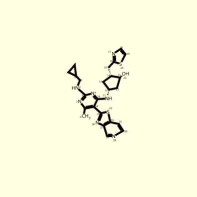 Cc1nc(NCC2CC2)nc(N[C@@H]2C[C@H](Cc3nccs3)[C@@H](O)C2)c1-c1nc2cnccc2s1